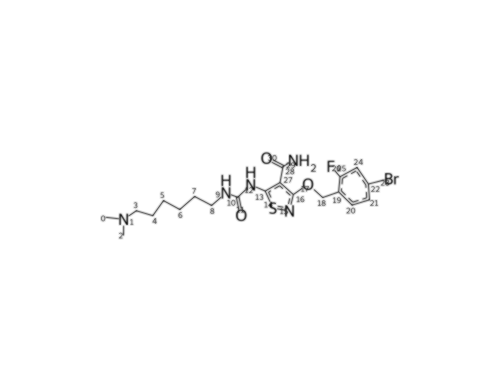 CN(C)CCCCCCNC(=O)Nc1snc(OCc2ccc(Br)cc2F)c1C(N)=O